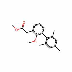 COC(=O)Cc1cccc(-c2c(C)cc(C)cc2C)c1OC